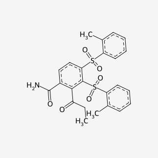 CCC(=O)c1c(C(N)=O)ccc(S(=O)(=O)c2ccccc2C)c1S(=O)(=O)c1ccccc1C